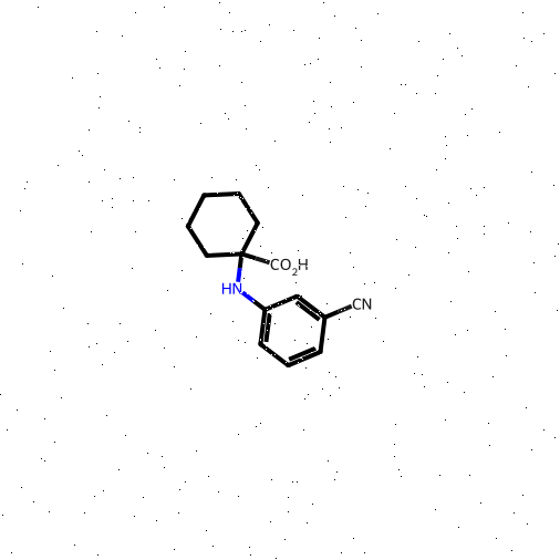 N#Cc1cccc(NC2(C(=O)O)CCCCC2)c1